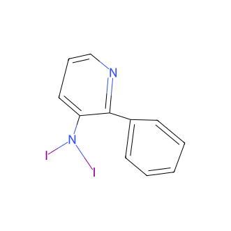 IN(I)c1cccnc1-c1ccccc1